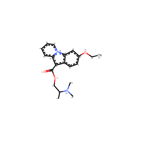 CC(COC(=O)c1c2ccc(OCC#N)cc2n2ccccc12)N(C)C